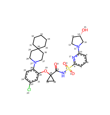 O=C(NS(=O)(=O)c1cccc(N2CC[C@H](O)C2)n1)C1(Oc2cc(Cl)ccc2N2CCC3(CCCCC3)CC2)CC1